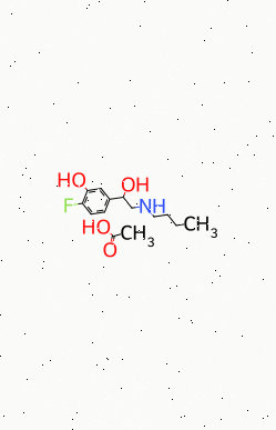 CC(=O)O.CCCCNCC(O)c1ccc(F)c(O)c1